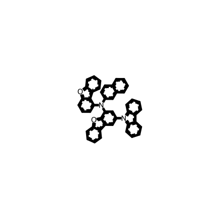 c1ccc2cc(N(c3cc(-n4c5ccccc5c5ccccc54)cc4c3oc3ccccc34)c3cccc4oc5ccccc5c34)ccc2c1